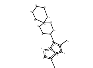 Cc1sc2c(C)csc2c1C1CCC2(CCCCC2)CC1